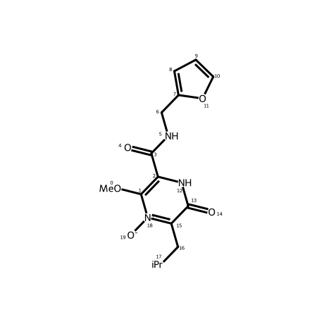 COc1c(C(=O)NCc2ccco2)[nH]c(=O)c(CC(C)C)[n+]1[O-]